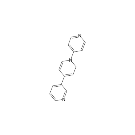 C1=CN(c2ccncc2)CC=C1c1cccnc1